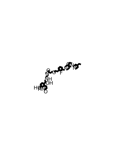 CCc1ccnc(N2CCOC3(CCN(Cc4cccc(CCOCCC(=O)N(C)CCNC[C@H](O)c5ccc(O)c6[nH]c(=O)ccc56)c4F)CC3)C2)c1